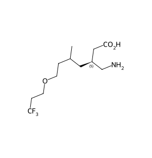 CC(CCOCCC(F)(F)F)C[C@H](CN)CC(=O)O